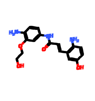 Nc1ccc(O)cc1C=CC(=O)Nc1ccc(N)c(OCCO)c1